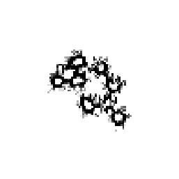 c1ccc(C2=NC(c3ccnc(-c4ccnc(-n5c6cccc7oc8ccccc8c8cccc5c8c76)c4)c3)NC(c3ccccc3)=N2)cc1